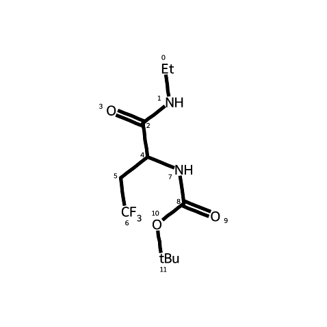 CCNC(=O)C(CC(F)(F)F)NC(=O)OC(C)(C)C